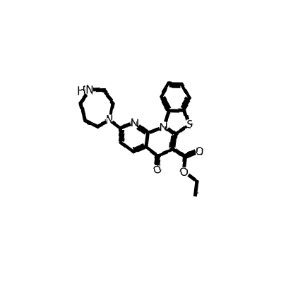 CCOC(=O)c1c(=O)c2ccc(N3CCCNCC3)nc2n2c1sc1ccccc12